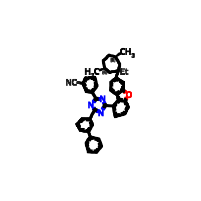 CCC1(c2ccc3c(c2)oc2cccc(-c4nc(-c5cccc(C#N)c5)nc(-c5cccc(-c6ccccc6)c5)n4)c23)C[C@H](C)CC[C@H](C)C1